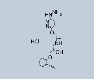 C#Cc1ccccc1OCC(O)CNC(C)(C)COc1ccc(NN)nn1.Cl